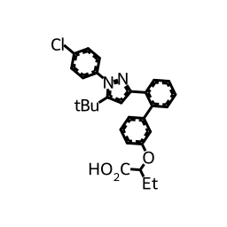 CCC(Oc1cccc(-c2ccccc2-c2cc(C(C)(C)C)n(-c3ccc(Cl)cc3)n2)c1)C(=O)O